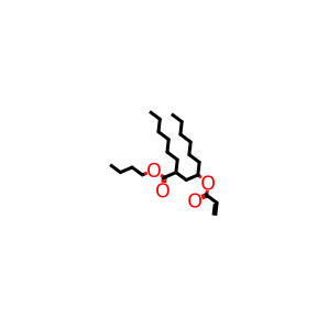 C=CC(=O)OC(CCCCCC)CC(CCCCCC)C(=O)OCCCC